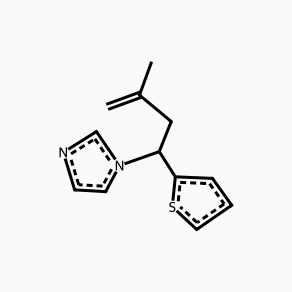 C=C(C)CC(c1cccs1)n1ccnc1